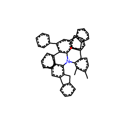 Cc1ccc(-c2ccccc2)c(N(c2c(C)c(C)cc3c2Cc2ccccc2-3)c2c3c(cc(-c4ccccc4)c2-c2ccccc2)-c2ccccc2C3)c1C